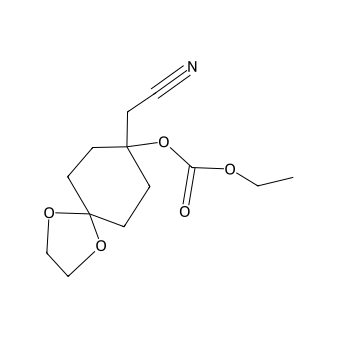 CCOC(=O)OC1(CC#N)CCC2(CC1)OCCO2